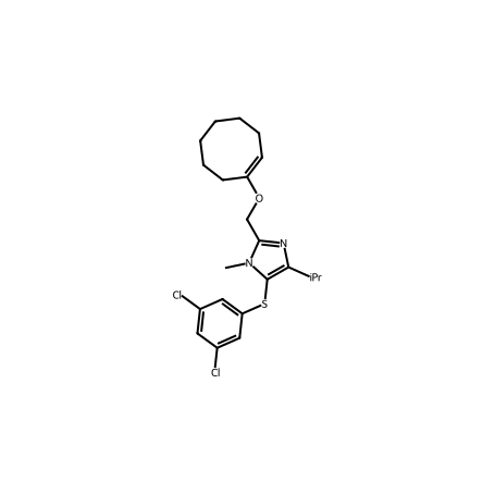 CC(C)c1nc(COC2=CCCCCCC2)n(C)c1Sc1cc(Cl)cc(Cl)c1